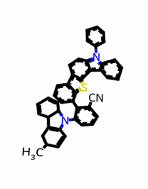 CC1C=CC2=C(C1)C1C=CC=CC1N2c1cccc(C#N)c1-c1cccc2c1sc1c2ccc2c1c1ccccc1n2-c1ccccc1